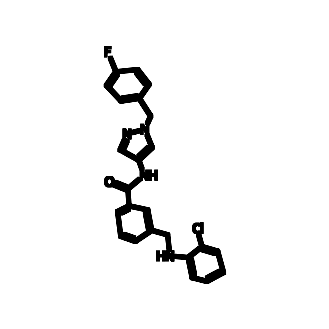 O=C(Nc1cnn(Cc2ccc(F)cc2)c1)c1cccc(CNc2ccccc2Cl)c1